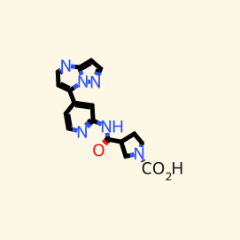 O=C(Nc1cc(-c2ccnc3ccnn23)ccn1)C1CCN(C(=O)O)C1